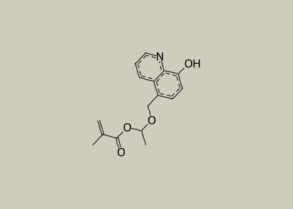 C=C(C)C(=O)OC(C)OCc1ccc(O)c2ncccc12